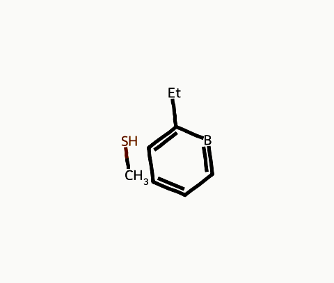 CCc1bcccc1.CS